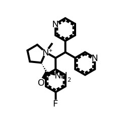 C[N+]1(C(c2ccc(F)cc2)C(c2cccnc2)c2cccnc2)CCC[C@H]1C(N)=O